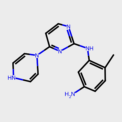 Cc1ccc(N)cc1Nc1nccc(N2C=CNC=C2)n1